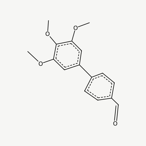 COc1cc(-c2ccc(C=O)cc2)cc(OC)c1OC